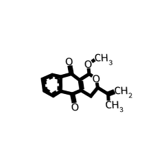 C=C(C)C1CC2=C(C(=O)c3ccccc3C2=O)C(OC)O1